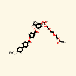 CCOC(=O)C1CCC(C2CCC(C(=O)Oc3ccc(C(=O)Oc4ccc(OC(=O)OCCOCCOCCOC(=O)C(C)CC)cc4C(=O)OC)cc3)CC2)CC1